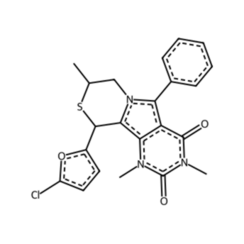 CC1Cn2c(-c3ccccc3)c3c(=O)n(C)c(=O)n(C)c3c2C(c2ccc(Cl)o2)S1